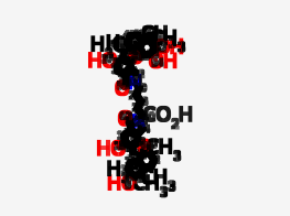 C[C@@H]1CCC2C(C)(C)[C@H](O)CC[C@]2(C)[C@@]12Cc1c(O)cc3c(c1O2)CN([C@@H](CCCCN1Cc2c(cc(O)c4c2O[C@]2(C4)[C@H](C)CCC4C(C)(C)[C@H](O)[C@H](O)C[C@@]42C)C1=O)C(=O)O)C3=O